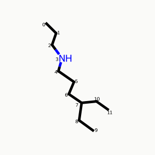 CCCNCCCC(CC)CC